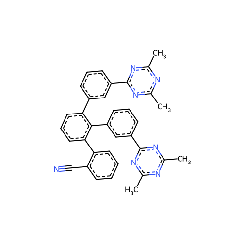 Cc1nc(C)nc(-c2cccc(-c3cccc(-c4ccccc4C#N)c3-c3cccc(-c4nc(C)nc(C)n4)c3)c2)n1